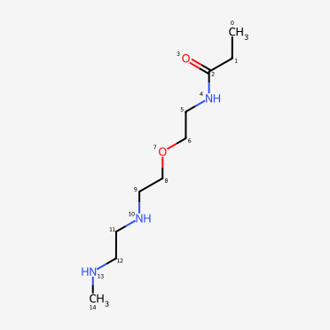 CCC(=O)NCCOCCNCCNC